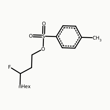 CCCCCCC(F)CCOS(=O)(=O)c1ccc(C)cc1